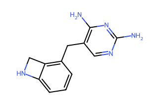 Nc1ncc(Cc2cccc3c2CN3)c(N)n1